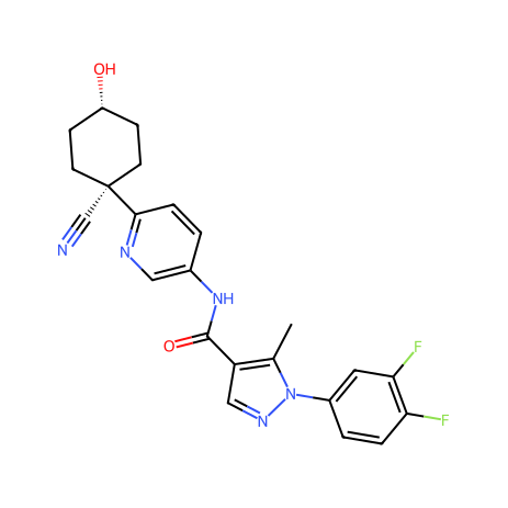 Cc1c(C(=O)Nc2ccc([C@]3(C#N)CC[C@@H](O)CC3)nc2)cnn1-c1ccc(F)c(F)c1